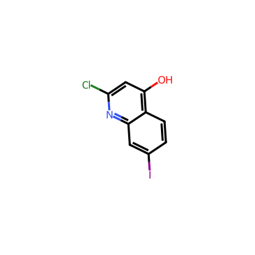 Oc1cc(Cl)nc2cc(I)ccc12